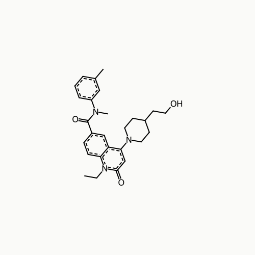 CCn1c(=O)cc(N2CCC(CCO)CC2)c2cc(C(=O)N(C)c3cccc(C)c3)ccc21